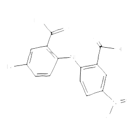 O=C(O)c1cc(Br)ccc1Nc1ccc([N+](=O)[O-])cc1C(=O)O